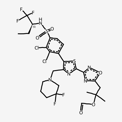 CC[C@H](NS(=O)(=O)c1ccc(-c2sc(-c3noc(CC(C)(C)OC=O)n3)nc2CN2CCCC(F)(F)C2)c(Cl)c1Cl)C(F)(F)F